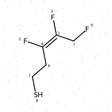 FC/C(F)=C(/F)CCS